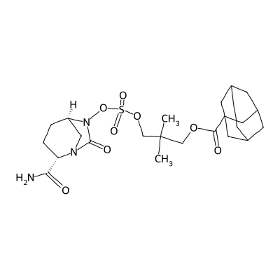 CC(C)(COC(=O)C12CC3CC(CC(C3)C1)C2)COS(=O)(=O)ON1C(=O)N2C[C@H]1CC[C@H]2C(N)=O